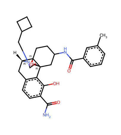 Cc1cccc(C(=O)NC2CC[C@@]3(O)[C@H]4Cc5ccc(C(N)=O)c(O)c5[C@@]3(CCN4CC3CCC3)C2)c1